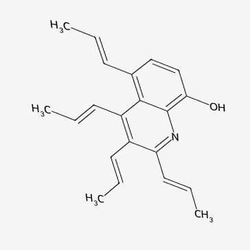 CC=Cc1nc2c(O)ccc(C=CC)c2c(C=CC)c1C=CC